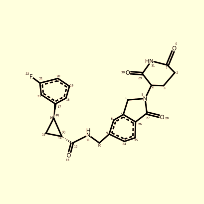 O=C1CCC(N2Cc3cc(CNC(=O)[C@@H]4C[C@H]4c4cccc(F)c4)ccc3C2=O)C(=O)N1